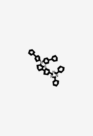 c1ccc(-c2ccc(N(c3ccc(-c4ccccc4)cc3)c3cccc4c3sc3cc(-c5nc(-c6ccccc6)nc(-c6ccccc6)n5)ccc34)cc2)cc1